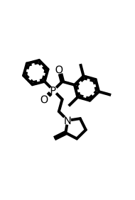 C=C1CCCN1CCP(=O)(C(=O)c1c(C)cc(C)cc1C)c1ccccc1